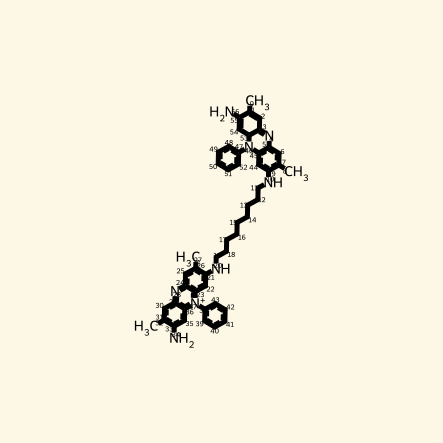 CC1=CC2=Nc3cc(C)c(NCCCCCCCCCNc4cc5c(cc4C)nc4cc(C)c(N)cc4[n+]5-c4ccccc4)cc3N(c3ccccc3)C2C=C1N